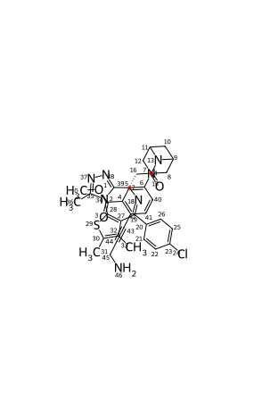 COC(=O)c1cc(N2CC3CC(C2)N3C(=O)C[C@@H]2N=C(c3ccc(Cl)cc3)c3c(sc(C)c3C)-n3c(C)nnc32)ccc1C#CCN